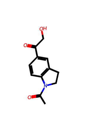 CC(=O)N1CCc2cc(C(=O)CO)ccc21